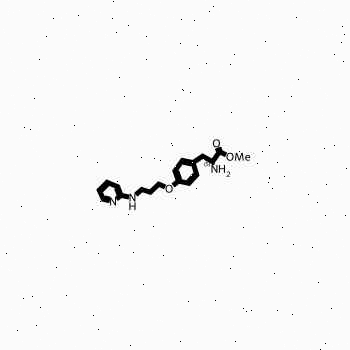 COC(=O)[C@@H](N)Cc1ccc(OCCCNc2ccccn2)cc1